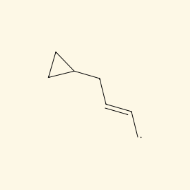 [CH2]/C=C/CC1CC1